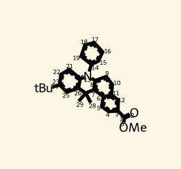 COC(=O)c1ccc2c3c(ccc2c1)N(c1ccccc1)c1ccc(C(C)(C)C)cc1C3(C)C